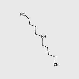 N#CCCCCNCCCCC#N